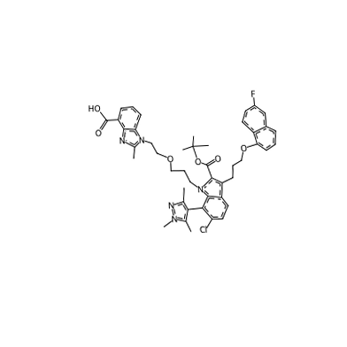 Cc1nn(C)c(C)c1-c1c(Cl)ccc2c(CCCOc3cccc4cc(F)ccc34)c(C(=O)OC(C)(C)C)n(CCCOCCn3c(C)nc4c(C(=O)O)cccc43)c12